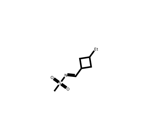 CCC1CC(C=NS(C)(=O)=O)C1